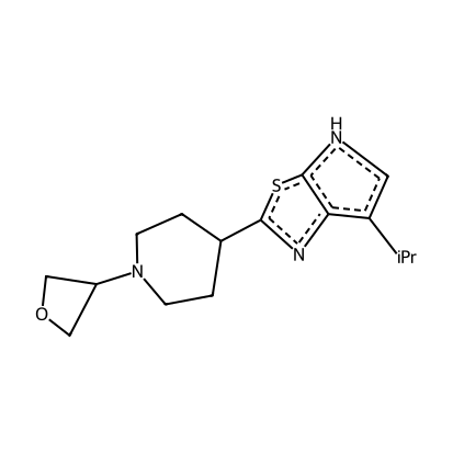 CC(C)c1c[nH]c2sc(C3CCN(C4COC4)CC3)nc12